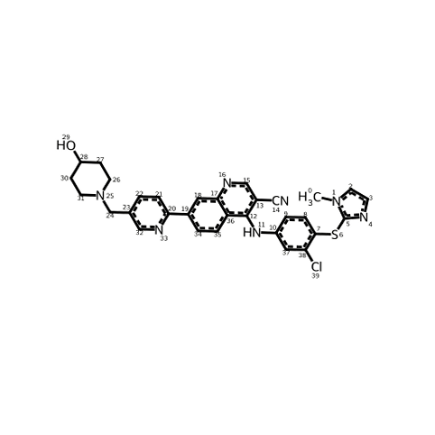 Cn1ccnc1Sc1ccc(Nc2c(C#N)cnc3cc(-c4ccc(CN5CCC(O)CC5)cn4)ccc23)cc1Cl